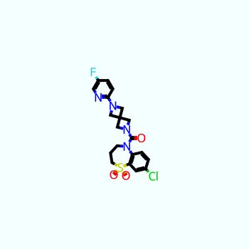 O=C(N1CC2(C1)CN(c1ccc(F)cn1)C2)N1CCCS(=O)(=O)c2cc(Cl)ccc21